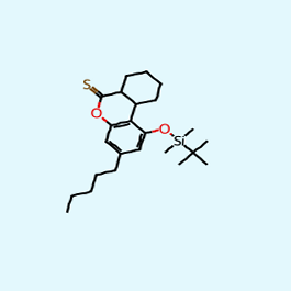 CCCCCc1cc2c(c(O[Si](C)(C)C(C)(C)C)c1)C1CCCCC1C(=S)O2